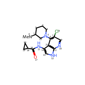 CNC1CCCN(c2c(Cl)cnc3[nH]cc(NC(=O)C4CC4)c23)C1